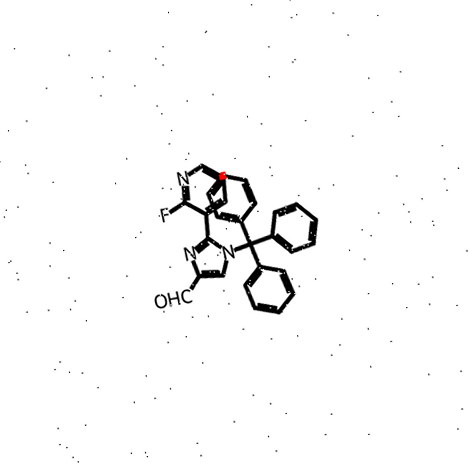 O=Cc1cn(C(c2ccccc2)(c2ccccc2)c2ccccc2)c(-c2cccnc2F)n1